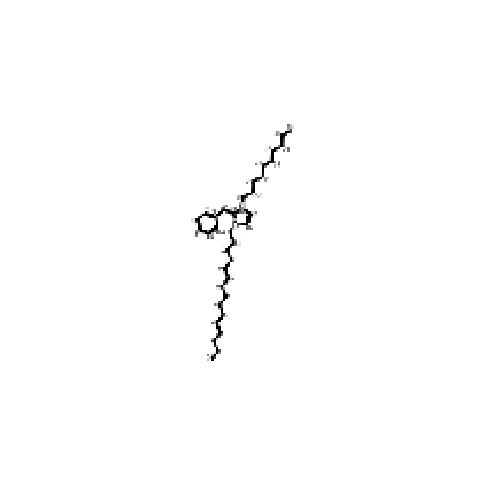 CCCCCCCCCCCCCCCN1C=CN(CCCCCCCCCC)C1Cc1ccccc1